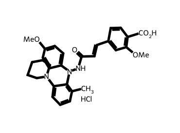 COc1ccc(N(NC(=O)C=Cc2ccc(C(=O)O)c(OC)c2)c2c(C)cccc2N2CCCCC2)cc1.Cl